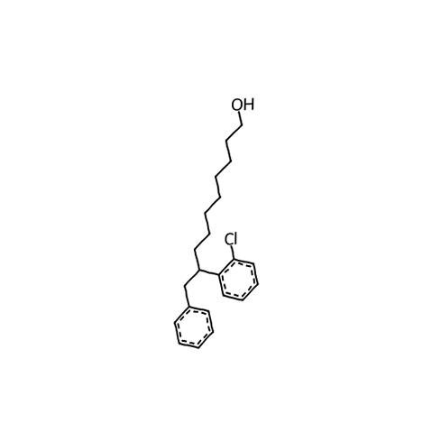 OCCCCCCCCC(Cc1ccccc1)c1ccccc1Cl